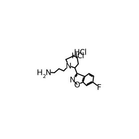 Cl.Cl.NCCCN1CCCCC1c1noc2cc(F)ccc12